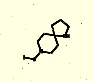 ISN1CCC2(CCCN2)CC1